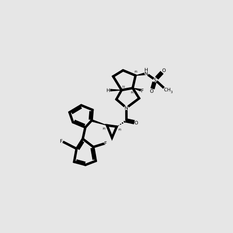 CS(=O)(=O)N[C@@H]1CC[C@H]2CN(C(=O)[C@@H]3C[C@H]3c3ccccc3-c3c(F)cccc3F)C[C@]21F